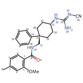 COc1cc(C)ccc1C(=O)NC[C@]1(c2ccccc2)CC[C@H](N/C(N)=N/C#N)CC1